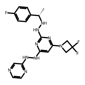 C[C@H](NNc1nc(NNc2cnccn2)cc(N2CC(F)(F)C2)n1)c1ccc(F)cc1